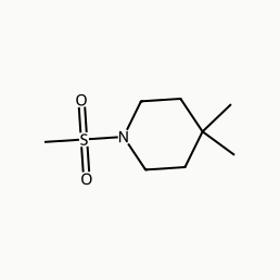 CC1(C)CCN(S(C)(=O)=O)CC1